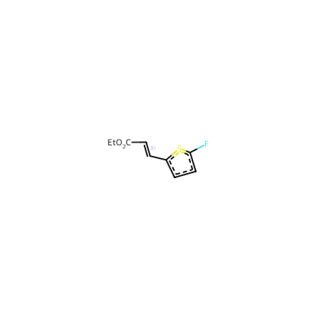 CCOC(=O)/C=C/c1ccc(F)s1